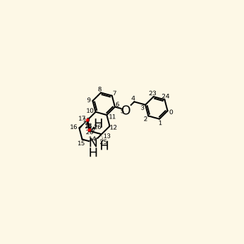 c1ccc(COc2cccc3c2C[C@H]2NCC[C@@]34CCCC[C@@H]24)cc1